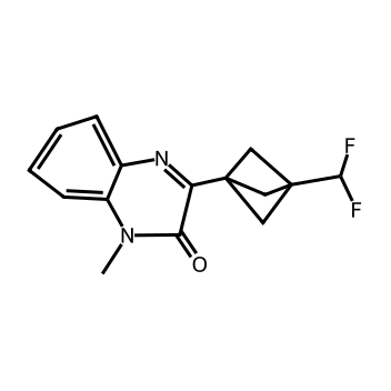 Cn1c(=O)c(C23CC(C(F)F)(C2)C3)nc2ccccc21